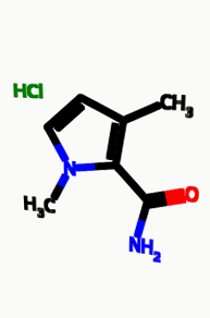 Cc1ccn(C)c1C(N)=O.Cl